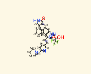 O=C(O)C(F)(F)F.O=C1NCC(c2ccccc2)/C1=C\c1ccc2c(/C=C/c3ccc(CN4CCCCC4)nc3)n[nH]c2c1